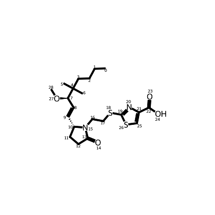 CCCCC(C)(C)[C@@H](/C=C/[C@H]1CCC(=O)N1CCSc1nc(C(=O)O)cs1)OC